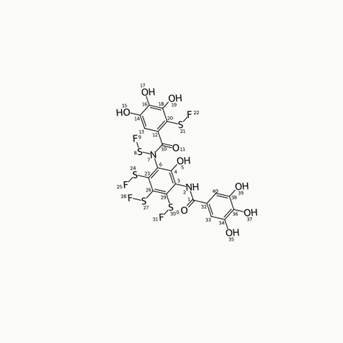 O=C(Nc1c(O)c(N(SF)C(=O)c2cc(O)c(O)c(O)c2SF)c(SF)c(SF)c1SF)c1cc(O)c(O)c(O)c1